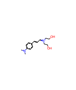 CN(C)c1ccc(C=CC=[N+](CCO)CCO)cc1